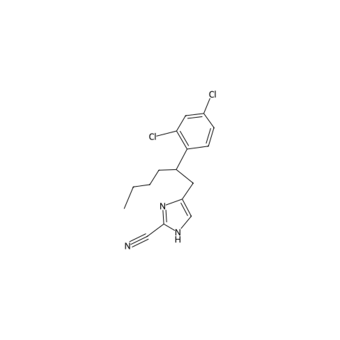 CCCCC(Cc1c[nH]c(C#N)n1)c1ccc(Cl)cc1Cl